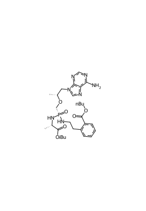 CCCCOC(=O)c1ccccc1CCN[P@@](=O)(CO[C@H](C)Cn1cnc2c(N)ncnc21)N[C@@H](C)C(=O)OCC(C)C